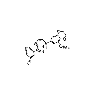 COc1cc(-c2ccnc(Nc3cccc(Cl)c3)n2)cc2c1OCCO2